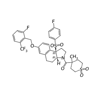 CC1(C(=O)N2CC[C@@]3(S(=O)(=O)c4ccc(F)cc4)c4ccc(OCc5c(F)cccc5C(F)(F)F)cc4CC[C@@H]23)CCS(=O)(=O)CC1